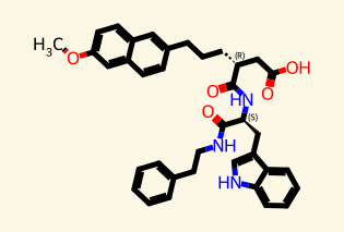 COc1ccc2cc(CCC[C@H](CC(=O)O)C(=O)N[C@@H](Cc3c[nH]c4ccccc34)C(=O)NCCc3ccccc3)ccc2c1